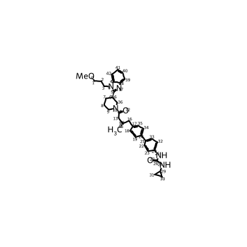 COCCCn1c([C@@H]2CCCN(C(=O)C[C@H](C)Cc3ccc(-c4ccc(NC(=O)NC5CC5)cc4)cc3)C2)nc2ccccc21